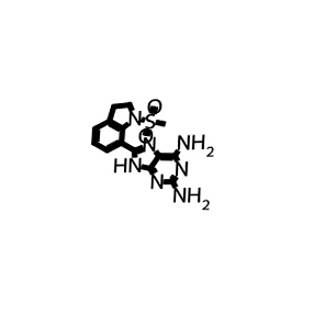 CS(=O)(=O)N1CCc2cccc(-c3nc4c(N)nc(N)nc4[nH]3)c21